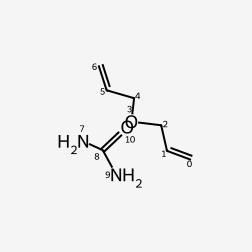 C=CCOCC=C.NC(N)=O